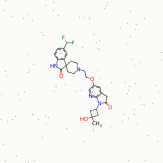 CC1(O)CC(N2C(=O)Cc3cc(OCCN4CCC5(CC4)C(=O)Nc4ccc(C(F)F)cc45)cnc32)C1